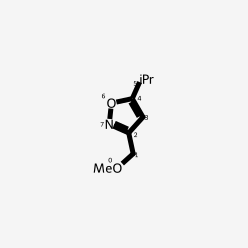 COCc1cc(C(C)C)on1